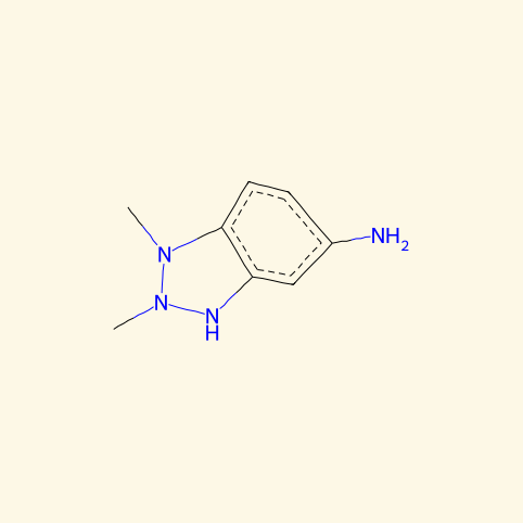 CN1Nc2cc(N)ccc2N1C